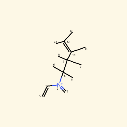 C=C[N+](=C)C(C)(C)C(C)(C)C(C)=C(C)C